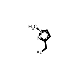 CC(=O)Cc1ccn(C)n1